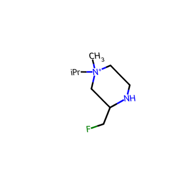 CC(C)[N+]1(C)CCNC(CF)C1